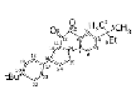 CCC(C)(C)c1ccc2c(c1)C(=O)C(=O)c1cc(-c3ccc(C(C)(C)C)cc3)ccc1-2